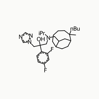 CCCCC1(C)CCCCC2CCC1CC2CN(CC(O)(Cn1cncn1)c1ccc(F)cc1F)C(C)C